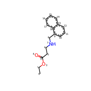 CCOC(=O)CCNCc1cccc2ccccc12